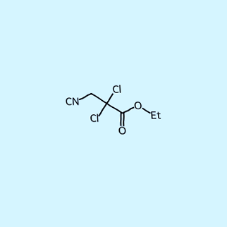 [C-]#[N+]CC(Cl)(Cl)C(=O)OCC